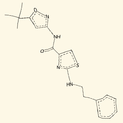 CC(C)(C)c1cc(NC(=O)c2csc(NCCc3ccccc3)n2)no1